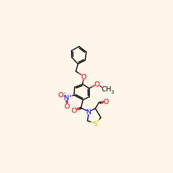 COc1cc(C(=O)N2CSCC2C=O)c([N+](=O)[O-])cc1OCc1ccccc1